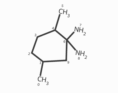 CC1CCC(C)C(N)(N)C1